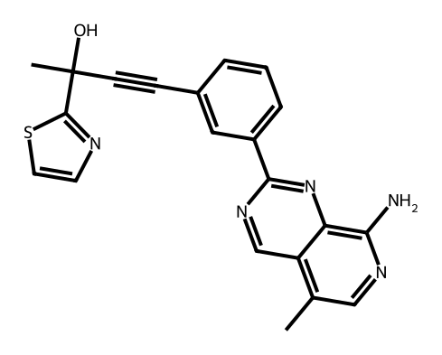 Cc1cnc(N)c2nc(-c3cccc(C#CC(C)(O)c4nccs4)c3)ncc12